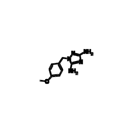 COc1ccc(Cn2nc(N)nc2N)cc1